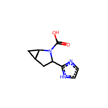 O=C(O)N1C(c2ncc[nH]2)CC2CC21